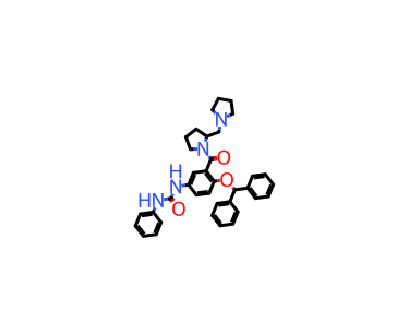 O=C(Nc1ccccc1)Nc1ccc(OC(c2ccccc2)c2ccccc2)c(C(=O)N2CCCC2CN2CCCC2)c1